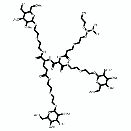 CC(=O)CC1C(COC(C)=O)OC(OCCOCCNC(=O)C(CCC(=O)NCCOCCOC2OC(COC(C)=O)C(OC(C)=O)C(OC(C)=O)C2NC(C)=O)NC(=O)C(NC(=O)CCOCCOP(OCCC#N)N(C(C)C)C(C)C)C(=O)NCCOCCOC2OC(COC(C)=O)C(OC(C)=O)C(OC(C)=O)C2NC(C)=O)C(NC(C)=O)C1OC(C)=O